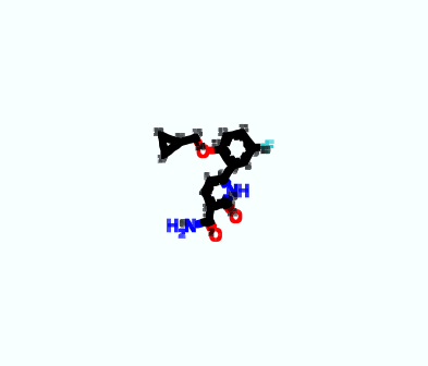 NC(=O)c1ccc(-c2cc(F)ccc2OCC2CC2)[nH]c1=O